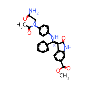 COC(=O)c1ccc2c(c1)NC(=O)/C2=C(\Nc1ccc(N(CC(N)=O)C(C)=O)cc1)c1ccccc1